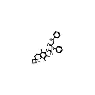 Cc1c(C)c2c(c(C)c1OC(=O)N(C(=O)CNc1ccccc1)c1ccccc1)CCC1(CCC1)O2